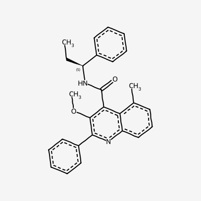 CC[C@H](NC(=O)c1c(OC)c(-c2ccccc2)nc2cccc(C)c12)c1ccccc1